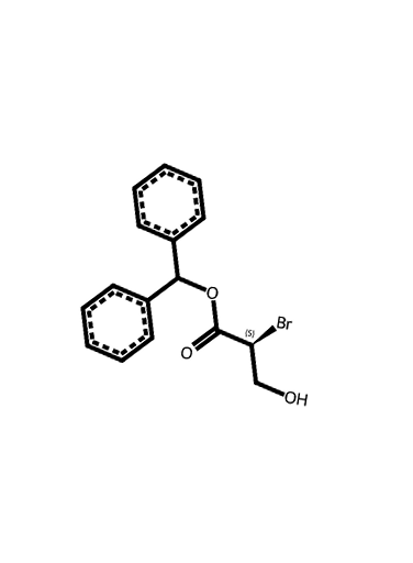 O=C(OC(c1ccccc1)c1ccccc1)[C@@H](Br)CO